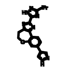 CC(C)c1n[nH]c(-c2nc3c(s2)CCOc2cc(-c4cn[nH]c4)ccc2-3)n1